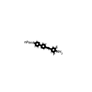 CCCCCc1ccc(-c2ccc(C#Cc3cc(F)c(N)c(F)c3)cc2)cc1